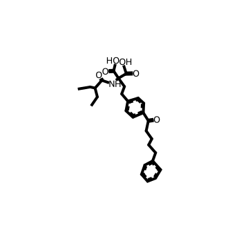 CCC(CC)C(=O)NC(CCc1ccc(C(=O)CCCCc2ccccc2)cc1)(C(=O)O)C(=O)O